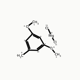 [CH2]c1cc(OC)cc(OC)c1.[Cl][Mg][Cl]